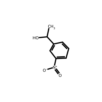 CC(O)c1cccc([N+](=O)[O-])c1